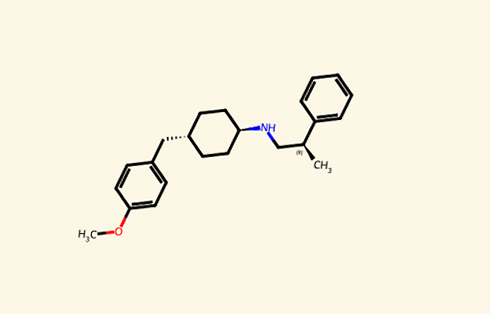 COc1ccc(C[C@H]2CC[C@H](NC[C@H](C)c3ccccc3)CC2)cc1